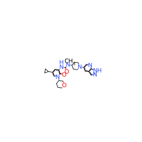 CN(C(=O)Nc1cc(C2CC2)cn(C2CCCOC2)c1=O)C1CCN(c2cnc3[nH]ncc3c2)CC1